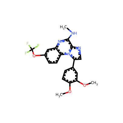 CNc1nc2cc(OC(F)(F)F)ccc2n2c(-c3ccc(OC)c(OC)c3)cnc12